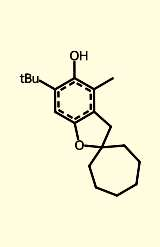 Cc1c(O)c(C(C)(C)C)cc2c1CC1(CCCCCC1)O2